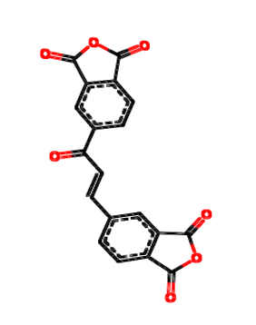 O=C(C=Cc1ccc2c(c1)C(=O)OC2=O)c1ccc2c(c1)C(=O)OC2=O